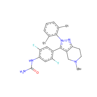 CCc1cccc(CC)c1-n1nc2c(c1-c1cc(F)c(NC(N)=O)cc1F)CN(C(C)(C)C)CC2